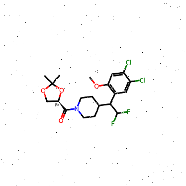 COc1cc(Cl)c(Cl)cc1C(C(F)F)C1CCN(C(=O)[C@H]2COC(C)(C)O2)CC1